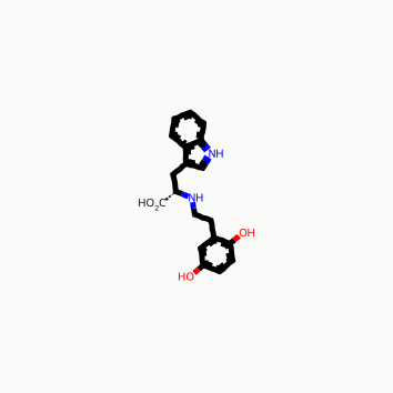 O=C(O)[C@H](Cc1c[nH]c2ccccc12)NCCc1cc(O)ccc1O